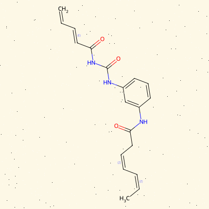 C=C/C=C/C(=O)NC(=O)Nc1cccc(NC(=O)C/C=C\C=C/C)c1